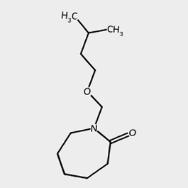 CC(C)CCOCN1CCCCCC1=O